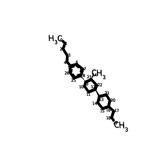 CCCCCc1ccc([C@H]2CC[C@H](C3CCC(CCC)CC3)C[C@H]2C)cc1